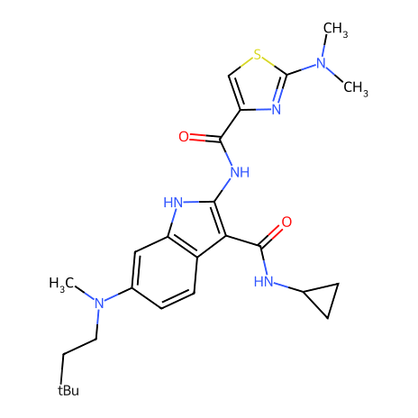 CN(C)c1nc(C(=O)Nc2[nH]c3cc(N(C)CCC(C)(C)C)ccc3c2C(=O)NC2CC2)cs1